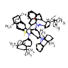 CC(C)(C)c1ccc(N2c3cc4ccccc4cc3B3c4c2cc(N2c5ccccc5C5(C)CCCCC25C)cc4N(c2ccc4c(c2)C(C)(C)CCC4(C)C)c2sc4cc5c(cc4c23)C2(C)CCC5(C)CC2)c(-c2ccccc2)c1